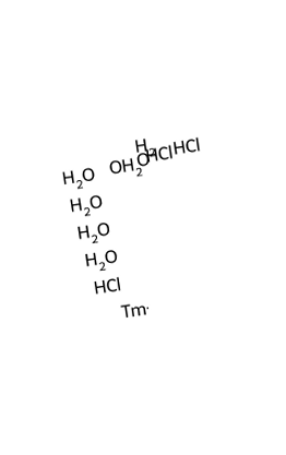 Cl.Cl.Cl.O.O.O.O.O.O.[Tm]